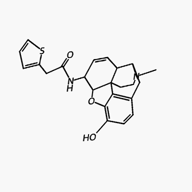 CN1CCC23c4c5ccc(O)c4OC2C(NC(=O)Cc2cccs2)C=CC3C1C5